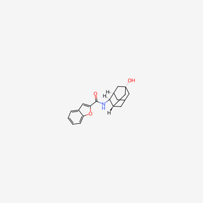 O=C(N[C@H]1[C@@H]2CC3C[C@H]1C[C@](O)(C3)C2)c1cc2ccccc2o1